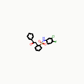 O=C(Cc1ccccc1S(=O)(=O)Nc1ccc(F)c(Cl)c1)c1ccccc1